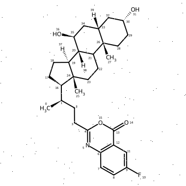 C[C@H](CCc1nc2ccc(F)cc2c(=O)o1)[C@H]1CC[C@H]2[C@H]3C(CC[C@]12C)[C@@]1(C)CC[C@@H](O)C[C@H]1C[C@@H]3O